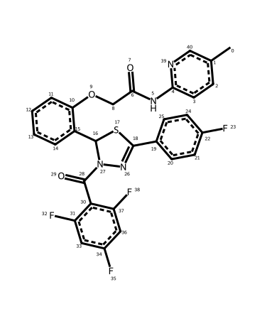 Cc1ccc(NC(=O)COc2ccccc2C2SC(c3ccc(F)cc3)=NN2C(=O)c2c(F)cc(F)cc2F)nc1